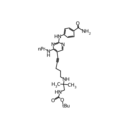 CCCNc1nc(Nc2ccc(C(N)=O)cc2)ncc1C#CCCCNC(C)(C)CNC(=O)OC(C)(C)C